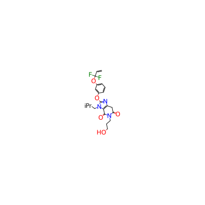 C=CC(F)(F)Oc1cccc(Oc2nc3c(n2CC(C)C)C(=O)N(CCCO)C(=O)C3)c1